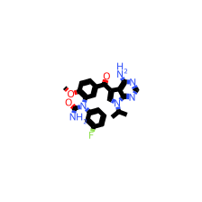 COc1ccc(C(=O)c2cn(C(C)C)c3ncnc(N)c23)cc1N(C(N)=O)c1cccc(F)c1